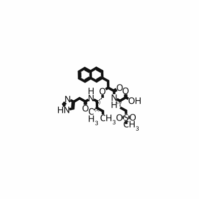 CC[C@H](C)[C@@H](COC(Cc1ccc2ccccc2c1)C(=O)N[C@@H](CCS(C)(=O)=O)C(=O)O)NC(=O)Cc1c[nH]cn1